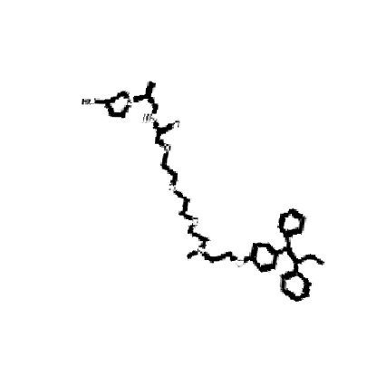 C=C(CNC(=O)COCCOCCOCCN(C)CCOc1ccc(/C(=C(/CC)c2ccccc2)c2ccccc2)cc1)N1CCC(O)C1